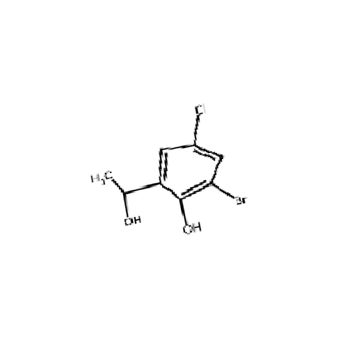 CC(O)c1cc(Cl)cc(Br)c1O